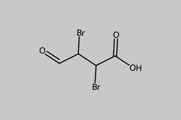 O=CC(Br)C(Br)C(=O)O